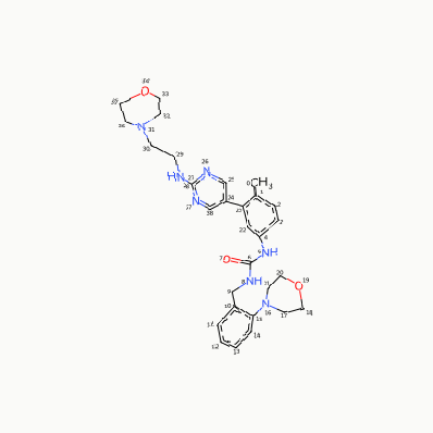 Cc1ccc(NC(=O)NCc2ccccc2N2CCOCC2)cc1-c1cnc(NCCN2CCOCC2)nc1